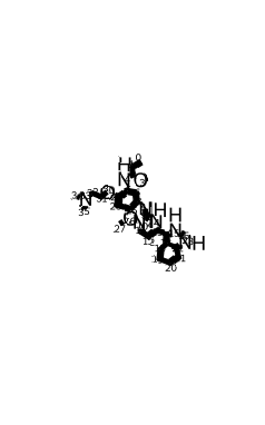 C=CC(=O)Nc1cc(Nc2nccc(/C(NC)=C3\C=CC=CC3=N)n2)c(OC)cc1OCCN(C)C